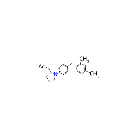 CC(=O)CC1CCCN1c1ccc(Cc2ccc(C)cc2C)cc1